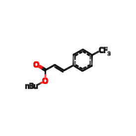 CCCCOC(=O)C=Cc1ccc(C(F)(F)F)cc1